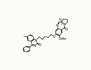 COc1cc2c(cc1OCCCCCn1c(=O)nc(-c3ccccc3)c3cc(C)ccc31)N=C[C@@H]1CCCN1C2=O